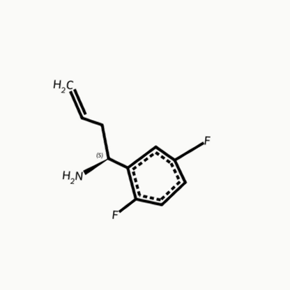 C=CC[C@H](N)c1cc(F)ccc1F